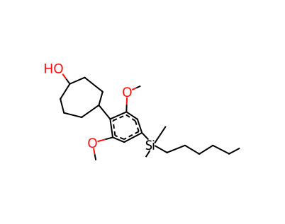 CCCCCC[Si](C)(C)c1cc(OC)c(C2CCCC(O)CC2)c(OC)c1